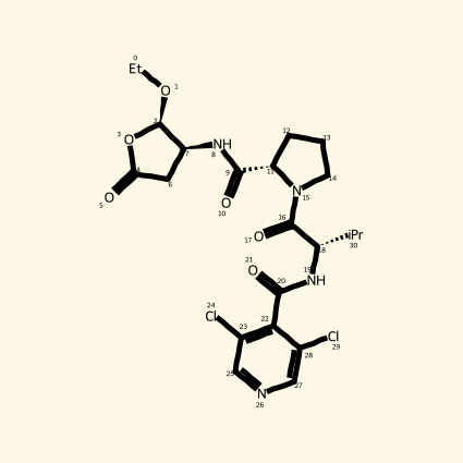 CCO[C@@H]1OC(=O)C[C@@H]1NC(=O)[C@@H]1CCCN1C(=O)[C@@H](NC(=O)c1c(Cl)cncc1Cl)C(C)C